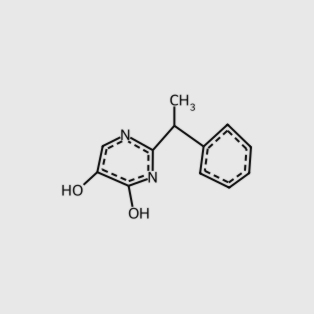 CC(c1ccccc1)c1ncc(O)c(O)n1